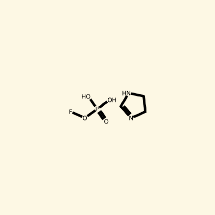 C1=NCCN1.O=P(O)(O)OF